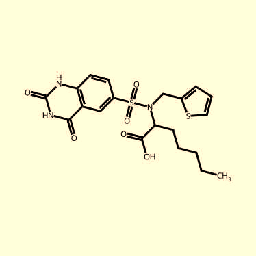 CCCCCC(C(=O)O)N(Cc1cccs1)S(=O)(=O)c1ccc2[nH]c(=O)[nH]c(=O)c2c1